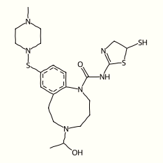 CC(O)N1CCCN(C(=O)NC2=NCC(S)S2)c2ccc(SN3CCN(C)CC3)cc2CC1